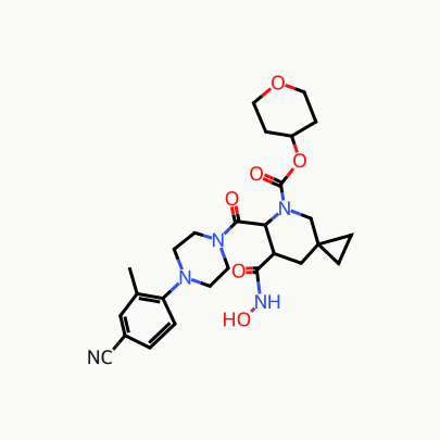 Cc1cc(C#N)ccc1N1CCN(C(=O)C2C(C(=O)NO)CC3(CC3)CN2C(=O)OC2CCOCC2)CC1